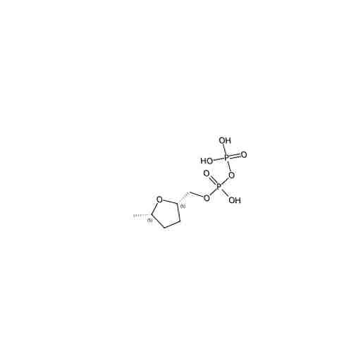 C[C@H]1CC[C@@H](COP(=O)(O)OP(=O)(O)O)O1